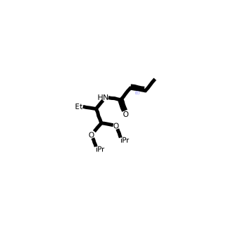 C/C=C/C(=O)NC(CC)C(OC(C)C)OC(C)C